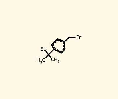 CCC(C)(C)c1ccc(CC(C)C)cc1